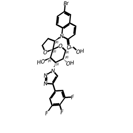 O=c1ccc2cc(Br)ccc2n1[C@@H]1CCO[C@]12O[C@H](CO)[C@H](O)[C@H](n1cc(-c3cc(F)c(F)c(F)c3)nn1)[C@H]2O